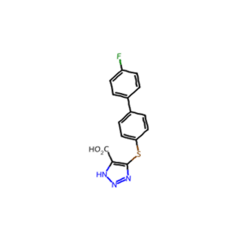 O=C(O)c1[nH]nnc1Sc1ccc(-c2ccc(F)cc2)cc1